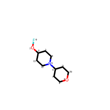 FOC1CCN(C2CCOCC2)CC1